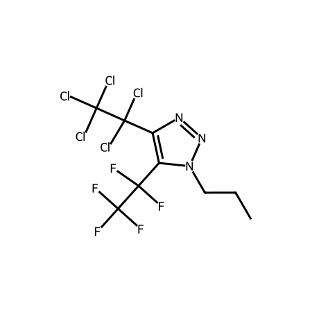 CCCn1nnc(C(Cl)(Cl)C(Cl)(Cl)Cl)c1C(F)(F)C(F)(F)F